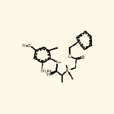 CCOC(=O)c1cc(OC)cc(C)c1NC(=O)C(C)[N+](C)(C)CC(=O)OCc1ccccc1